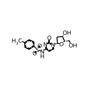 Cc1ccc(S(=O)(=O)Nc2ccn([C@H]3C[C@H](O)[C@@H](CO)O3)c(=O)n2)cc1